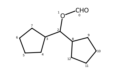 O=COC(C1CCCC1)C1CCCC1